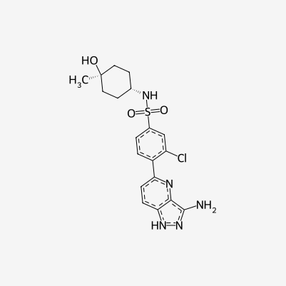 C[C@]1(O)CC[C@H](NS(=O)(=O)c2ccc(-c3ccc4[nH]nc(N)c4n3)c(Cl)c2)CC1